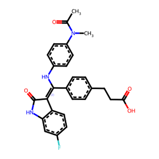 CC(=O)N(C)c1ccc(N/C(=C2\C(=O)Nc3cc(F)ccc32)c2ccc(CCC(=O)O)cc2)cc1